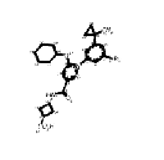 CC(C)(C)c1cc(-n2nc(C(=O)N[C@H]3C[C@H](C(=O)O)C3)cc2OC2CCCCC2)cc(C2(C)CC2)c1